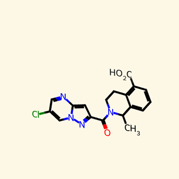 CC1c2cccc(C(=O)O)c2CCN1C(=O)c1cc2ncc(Cl)cn2n1